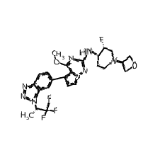 COc1nc(N[C@@H]2CCN(C3COC3)C[C@H]2F)nn2ccc(-c3ccc4nnn([C@@H](C)C(F)(F)F)c4c3)c12